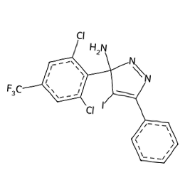 NC1(c2c(Cl)cc(C(F)(F)F)cc2Cl)N=NC(c2ccccc2)=C1I